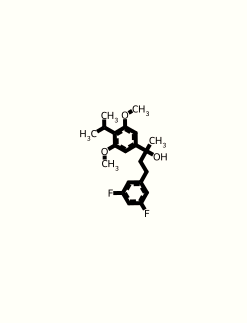 COc1cc(C(C)(O)CCc2cc(F)cc(F)c2)cc(OC)c1C(C)C